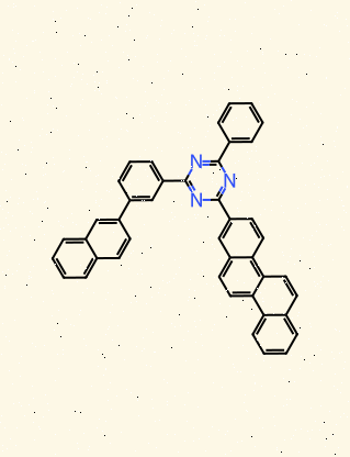 c1ccc(-c2nc(-c3cccc(-c4ccc5ccccc5c4)c3)nc(-c3ccc4c(ccc5c6ccccc6ccc45)c3)n2)cc1